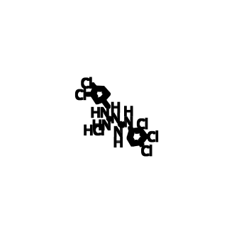 Cl.N=C(NCc1ccc(Cl)c(Cl)c1)NC(=N)Nc1ccc(Cl)c(Cl)c1Cl